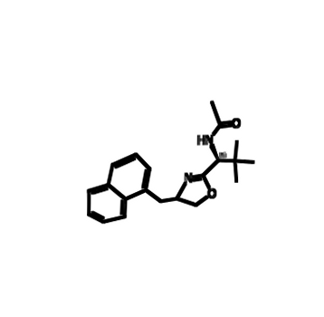 CC(=O)N[C@H](C1=NC(Cc2cccc3ccccc23)CO1)C(C)(C)C